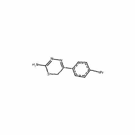 CCCc1ccc(C2=NN=C(N)SC2)cc1